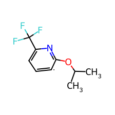 CC(C)Oc1[c]ccc(C(F)(F)F)n1